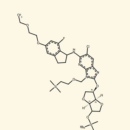 CC(C)(C)[Si](C)(C)OC1CO[C@H]2[C@@H]1OC[C@H]2Oc1nc2cc(Cl)c(NC3CCc4cc(OCCOCC(F)(F)F)cc(F)c43)nc2n1COCC[Si](C)(C)C